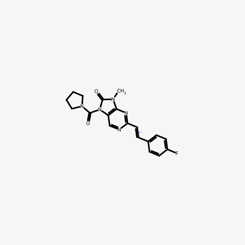 Cn1c(=O)n(C(=O)N2CCCC2)c2cnc(/C=C/c3ccc(F)cc3)nc21